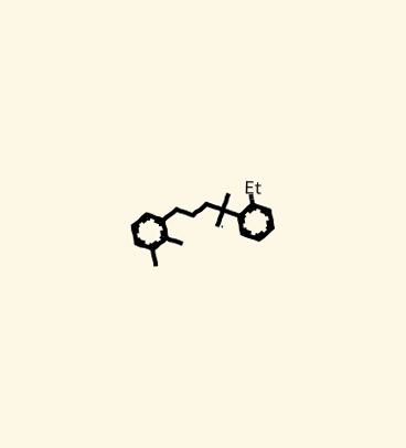 [CH2]C(C)(CCCc1cccc(C)c1C)c1ccccc1CC